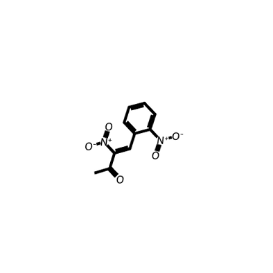 CC(=O)C(=Cc1ccccc1[N+](=O)[O-])[N+](=O)[O-]